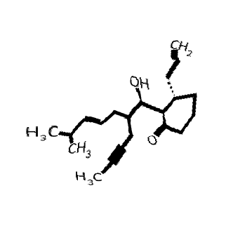 C=CC[C@@H]1CCCC(=O)[C@H]1[C@H](O)C(CC#CC)C/C=C/C(C)C